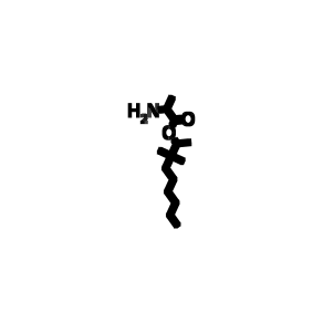 CCCCCCC(C)(C)C(C)OC(=O)C(C)N